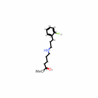 COC(=O)CCCCNCCCc1ccccc1F